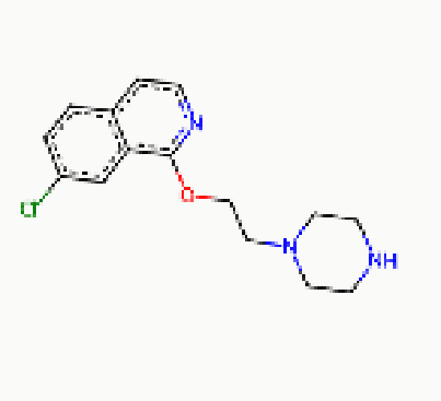 Clc1ccc2ccnc(OCCN3CCNCC3)c2c1